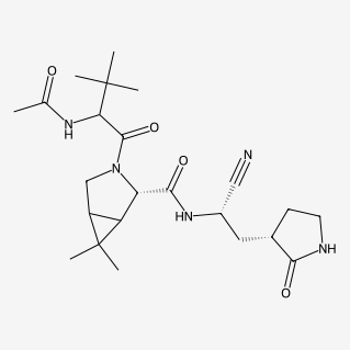 CC(=O)NC(C(=O)N1CC2C([C@H]1C(=O)N[C@H](C#N)C[C@@H]1CCNC1=O)C2(C)C)C(C)(C)C